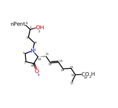 CCCCCC(O)CCN1CCC(=O)[C@H]1CC=CCCC(C)C(=O)O